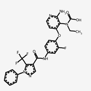 CCN(C(=O)O)c1c(Oc2ccc(NC(=O)c3cnn(-c4ccccc4)c3C(F)(F)F)cc2F)ccnc1N